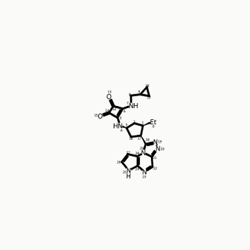 CC[C@@H]1C[C@H](Nc2c(NCC3CC3)c(=O)c2=O)C[C@@H]1c1nnc2cnc3[nH]ccc3n12